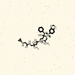 CC(C)CN(C(O)(CCNC(=O)CC(C)(C)CNC(=O)CNC1CC1)Cc1ccccc1)S(=O)(=O)c1ccc2c(c1)OCO2